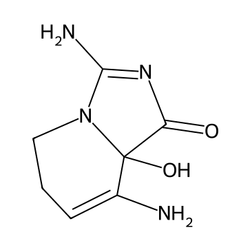 NC1=CCCN2C(N)=NC(=O)C12O